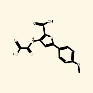 COc1ccc(-c2cc(NC(=O)C(=O)O)c(C(=O)O)s2)cc1